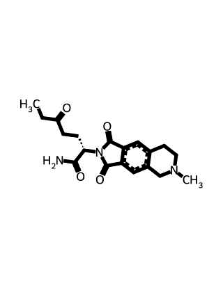 CCC(=O)CC[C@@H](C(N)=O)N1C(=O)c2cc3c(cc2C1=O)CN(C)CC3